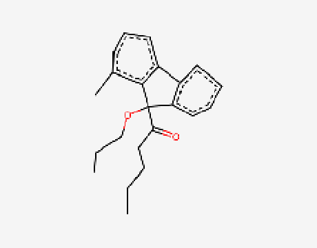 CCCCC(=O)C1(OCCC)c2ccccc2-c2cccc(C)c21